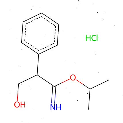 CC(C)OC(=N)C(CO)c1ccccc1.Cl